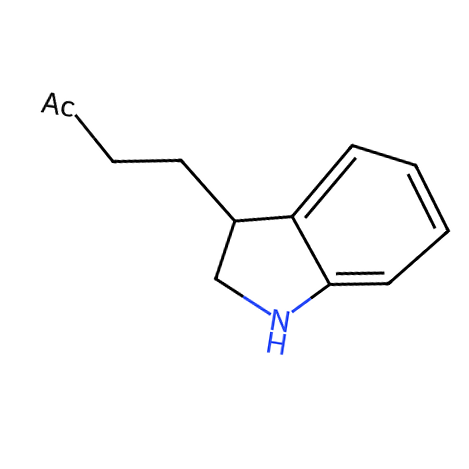 CC(=O)CCC1CNc2ccccc21